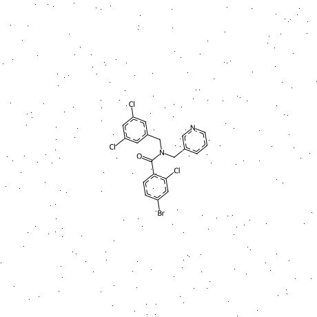 O=C(c1ccc(Br)cc1Cl)N(Cc1cccnc1)Cc1cc(Cl)cc(Cl)c1